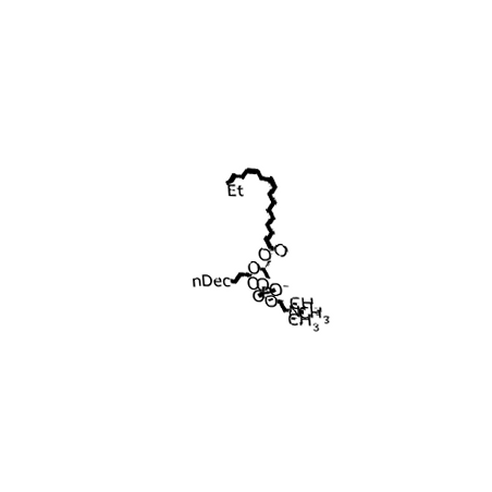 CC/C=C\C/C=C\C/C=C\CCCCCCCC(=O)OC[C@H](COP(=O)([O-])OCC[N+](C)(C)C)OC(=O)CCCCCCCCCCCC